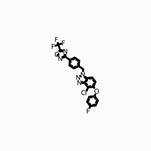 Fc1ccc(Oc2ccc3c(nnn3Cc3ccc(-c4noc(C(F)(F)F)n4)cc3)c2Cl)cc1